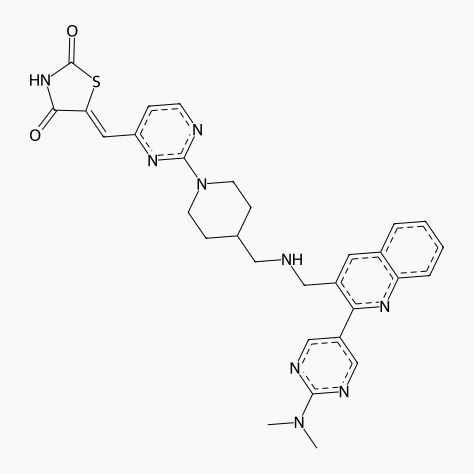 CN(C)c1ncc(-c2nc3ccccc3cc2CNCC2CCN(c3nccc(/C=C4\SC(=O)NC4=O)n3)CC2)cn1